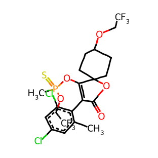 Cc1cc(Cl)cc(Cl)c1C1=C(OP(C)(=S)OCC(F)(F)F)C2(CCC(OCC(F)(F)F)CC2)OC1=O